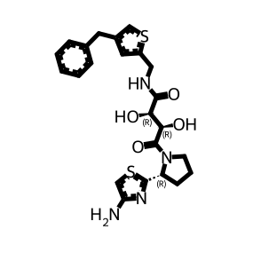 Nc1csc([C@H]2CCCN2C(=O)[C@H](O)[C@@H](O)C(=O)NCc2cc(Cc3ccccc3)cs2)n1